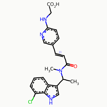 CC(c1c[nH]c2c(Cl)cccc12)N(C)C(=O)/C=C/c1ccc(NCC(=O)O)nc1